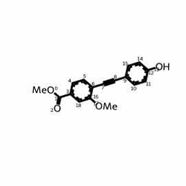 COC(=O)c1ccc(C#Cc2ccc(O)cc2)c(OC)c1